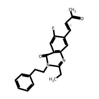 CCc1nc2cc(/C=C/C(C)=O)c(F)cc2c(=O)n1CCc1ccccc1